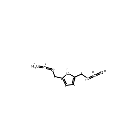 C=C=NCc1ccc(CN=C=O)o1